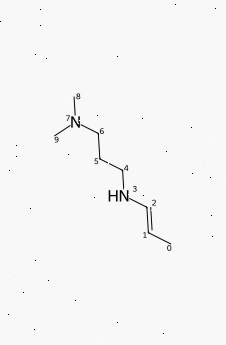 CC=CNCCCN(C)C